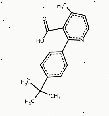 Cc1ccnc(-c2ccc(C(C)(C)C)cc2)c1C(=O)O